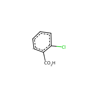 O=C(O)c1[c]cccc1Cl